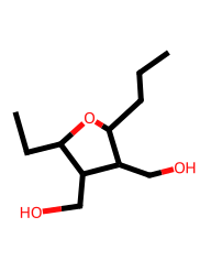 CCCC1OC(CC)C(CO)C1CO